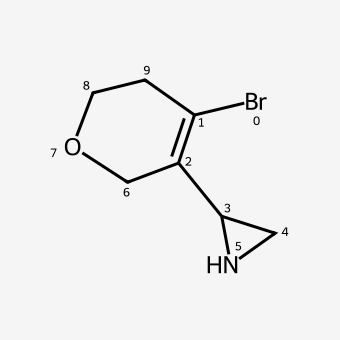 BrC1=C(C2CN2)COCC1